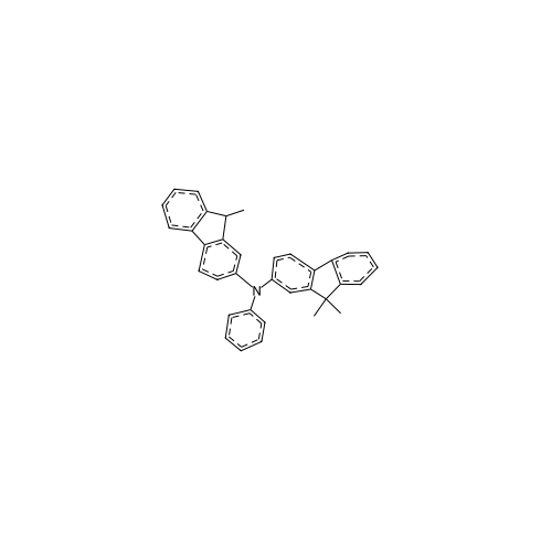 CC1c2ccccc2-c2ccc(N(c3ccccc3)c3ccc4c(c3)C(C)(C)c3ccccc3-4)cc21